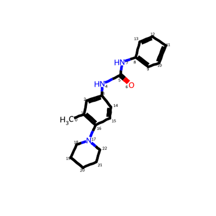 Cc1cc(NC(=O)Nc2ccccc2)ccc1N1CCCCC1